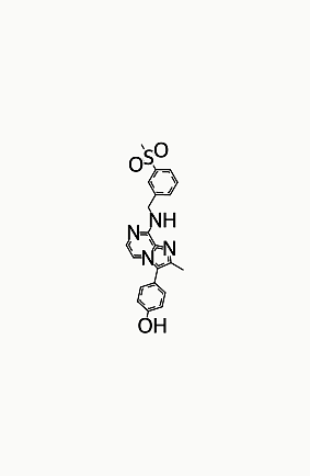 Cc1nc2c(NCc3cccc(S(C)(=O)=O)c3)nccn2c1-c1ccc(O)cc1